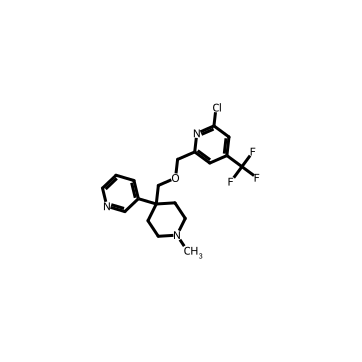 CN1CCC(COCc2cc(C(F)(F)F)cc(Cl)n2)(c2cccnc2)CC1